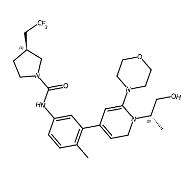 Cc1ccc(NC(=O)N2CC[C@@H](CC(F)(F)F)C2)cc1C1=CCN([C@@H](C)CO)C(N2CCOCC2)=C1